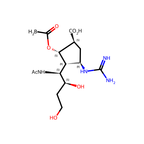 BC(=O)O[C@H]1[C@@H]([C@H](NC(C)=O)[C@@H](O)CCO)[C@H](NC(=N)N)C[C@@H]1C(=O)O